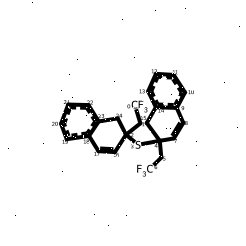 FC(F)(F)CC1(SC2(CC(F)(F)F)C=Cc3ccccc3C2)C=Cc2ccccc2C1